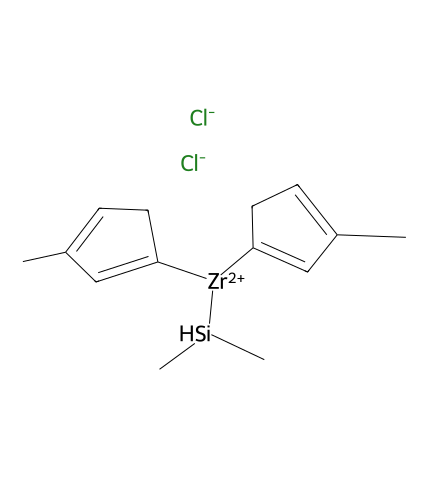 CC1=CC[C]([Zr+2]([C]2=CC(C)=CC2)[SiH](C)C)=C1.[Cl-].[Cl-]